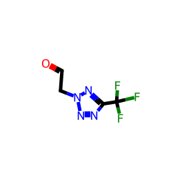 O=CCn1nnc(C(F)(F)F)n1